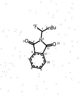 CCCCC(F)N1C(=O)c2ccccc2C1=O